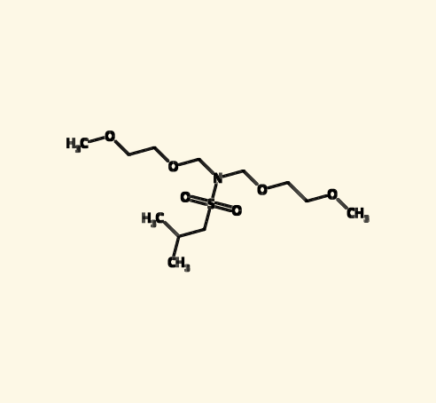 COCCOCN(COCCOC)S(=O)(=O)CC(C)C